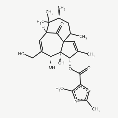 CC1=CC23C(=O)[C@@H](C=C(CO)[C@@H](O)[C@]2(O)[C@H]1OC(=O)c1sc(C)nc1C)C(C)(C)[C@@H](C)CC3C